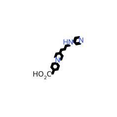 O=C(O)CC1CCC(N2CCC(CCCCNc3ccncc3)CC2)CC1